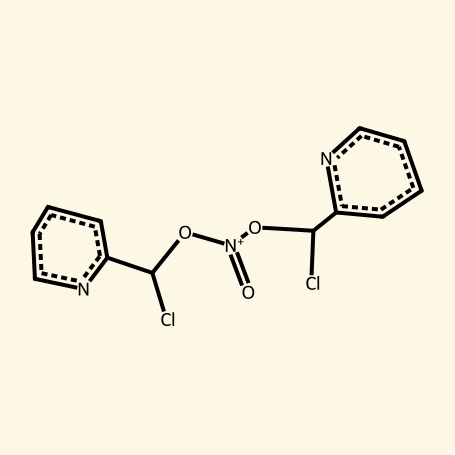 O=[N+](OC(Cl)c1ccccn1)OC(Cl)c1ccccn1